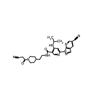 CC(C)Nc1cc(-n2ncc3cc(C#N)cnc32)ncc1C(=O)NCCC1CCN(C(=O)CC#N)CC1